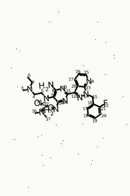 CCN(C)CCN(c1c(N)nc(-c2nn(Cc3ccccc3F)c3ncccc23)nc1N)S(=O)(=O)N(C)C